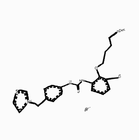 CCCCCCCCCCCCCCOc1c(Cl)cccc1NC(=O)Nc1ccc(C[n+]2ccsc2)cc1.[Br-]